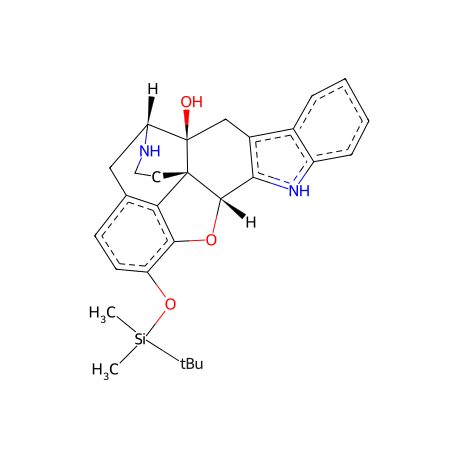 CC(C)(C)[Si](C)(C)Oc1ccc2c3c1O[C@H]1c4[nH]c5ccccc5c4C[C@@]4(O)[C@@H](C2)NCC[C@]314